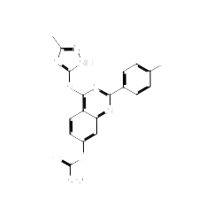 CNC(=O)Oc1ccc2c(Nc3nc(C)n[nH]3)nc(-c3ccc(Cl)cc3)nc2c1